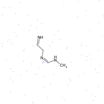 CN/C=N\CC=N